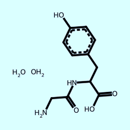 NCC(=O)NC(Cc1ccc(O)cc1)C(=O)O.O.O